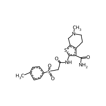 Cc1ccc(S(=O)(=O)CC(=O)Nc2sc3c(c2C(N)=O)CCN(C)C3)cc1